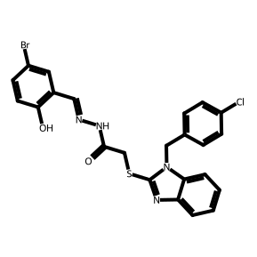 O=C(CSc1nc2ccccc2n1Cc1ccc(Cl)cc1)N/N=C/c1cc(Br)ccc1O